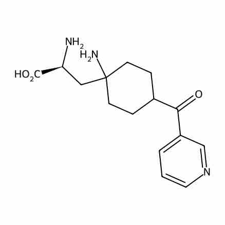 N[C@@H](CC1(N)CCC(C(=O)c2cccnc2)CC1)C(=O)O